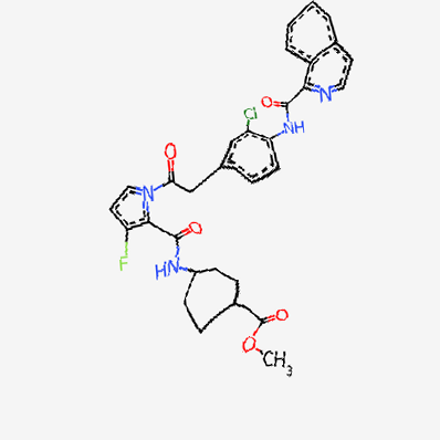 COC(=O)C1CCC(NC(=O)c2c(F)ccn2C(=O)Cc2ccc(NC(=O)c3nccc4ccccc34)c(Cl)c2)CC1